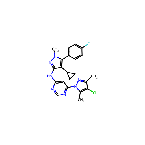 Cc1nn(-c2cc(Nc3nn(C)c(-c4ccc(F)cc4)c3C3CC3)ncn2)c(C)c1Cl